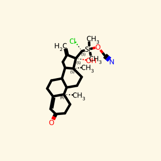 C=C1CC2C3CCC4=CC(=O)CC[C@]4(C)C3CC[C@]2(C)[C@]1(O)[C@H](Cl)[Si](C)(C)OC#N